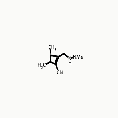 CNNCC1=C(C#N)C(C)[C@H]1C